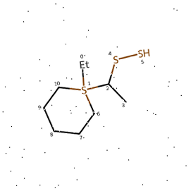 CCS1(C(C)SS)CCCCC1